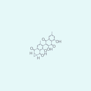 Cc1cc(O)c2c(c1)C(=O)C(c1c(C)cc3c(c1O)C(=O)[C@H]1C[C@H]1C3=O)=C(O)C2=O